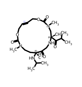 CC(C)N[C@]1(C)CCN(C)C(=O)OC/C=C/COC(=O)N(C)C[C@](C)(C(=O)C(C)C)NCC1=O